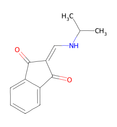 CC(C)NC=C1C(=O)c2ccccc2C1=O